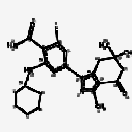 Cc1nn(-c2cc(F)c(C(N)=O)c(NC3CCCCC3)c2)c2c1C(=O)CC(C)(C)C2